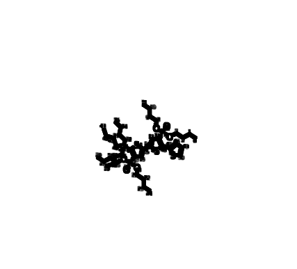 CCCCOP(=O)(OCCCC)c1cc(-c2cc(P(=O)(OCCCC)OCCCC)[c]([Sn]([CH2]CCC)([CH2]CCC)[CH2]CCC)s2)sc1-c1cccs1